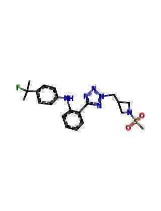 CC(C)(F)c1ccc(Nc2ccccc2-c2nnn(CC3CN(S(C)(=O)=O)C3)n2)cc1